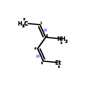 C/C=C(N)\C=C/CC